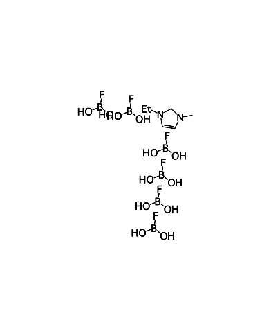 CCN1C=CN(C)C1.OB(O)F.OB(O)F.OB(O)F.OB(O)F.OB(O)F.OB(O)F